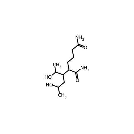 CC(O)CC(C(C)O)C(CCCC(N)=O)C(N)=O